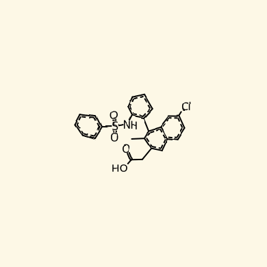 Cc1c(CC(=O)O)cc2ccc(Cl)cc2c1-c1ccccc1NS(=O)(=O)c1ccccc1